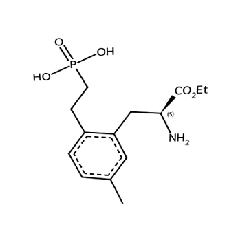 CCOC(=O)[C@@H](N)Cc1cc(C)ccc1CCP(=O)(O)O